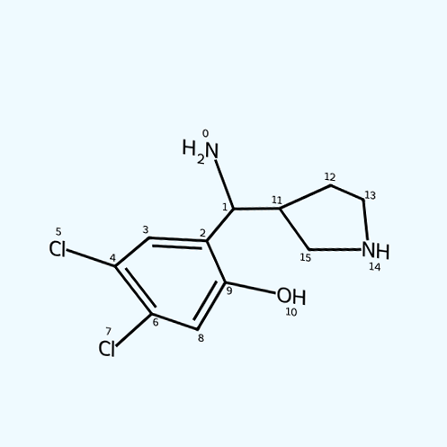 NC(c1cc(Cl)c(Cl)cc1O)C1CCNC1